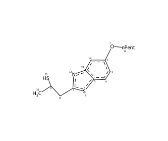 CCCCCOc1ccc2sc(CC(C)S)nc2c1